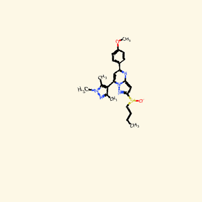 CCCC[S+]([O-])c1cc2nc(-c3ccc(OC)cc3)cc(-c3c(C)nn(C)c3C)n2n1